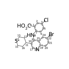 O=C(O)c1cc(Cl)ccc1Nc1c(C2CCSCC2)cnc2ccc(Br)cc12